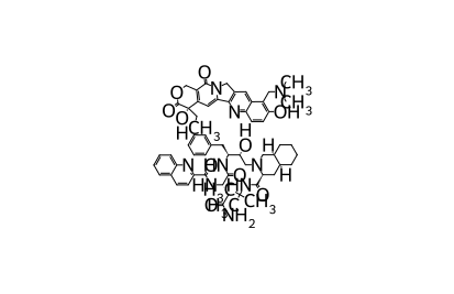 CC(C)(C)NC(=O)[C@@H]1C[C@@H]2CCCC[C@@H]2CN1C[C@@H](O)[C@H](Cc1ccccc1)NC(=O)[C@H](CC(N)=O)NC(=O)c1ccc2ccccc2n1.CC[C@@]1(O)C(=O)OCc2c1cc1n(c2=O)Cc2cc3c(CN(C)C)c(O)ccc3nc2-1